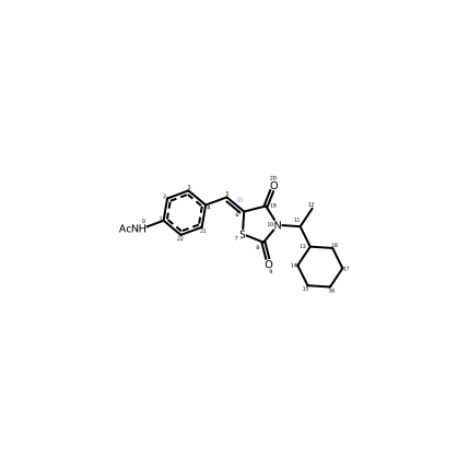 CC(=O)Nc1ccc(/C=C2\SC(=O)N(C(C)C3CCCCC3)C2=O)cc1